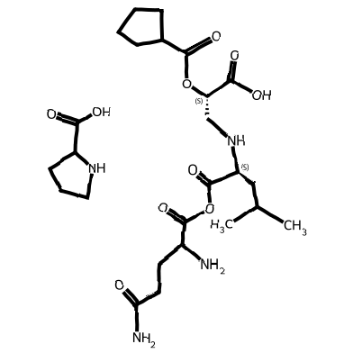 CC(C)C[C@H](NC[C@H](OC(=O)C1CCCC1)C(=O)O)C(=O)OC(=O)C(N)CCC(N)=O.O=C(O)C1CCCN1